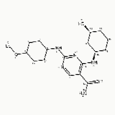 CCOC1CCC(Nc2ncc(C(N)=O)c(N[C@@H]3CCC[C@H](O)C3)n2)CC1